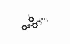 COC(=O)C[C@H]1CCC[C@@H](NCc2ccccc2)[C@@H]1c1ccc(F)cc1